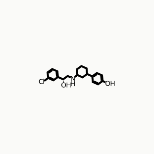 Oc1ccc(C2CCCC(NC[C@H](O)c3cccc(Cl)c3)C2)cc1